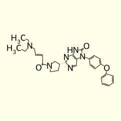 CCN(CC)C/C=C/C(=O)N1CC[C@@H](c2ncc3c(n2)[nH]c(=O)n3-c2ccc(Oc3ccccc3)cc2)C1